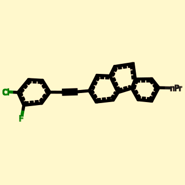 CCCc1ccc2c(ccc3cc(C#Cc4ccc(Cl)c(F)c4)ccc32)c1